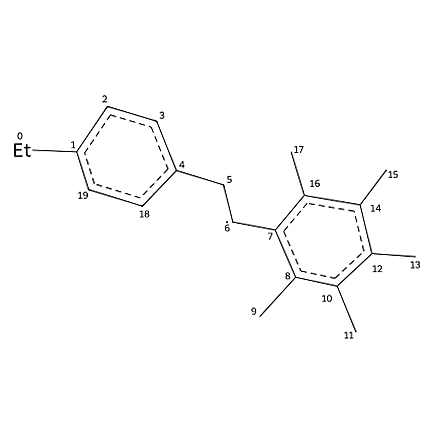 CCc1ccc(C[CH]c2c(C)c(C)c(C)c(C)c2C)cc1